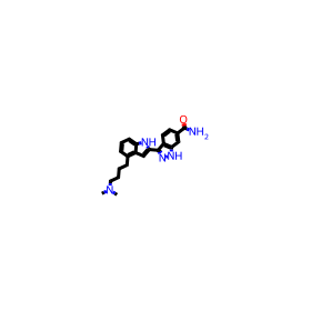 CN(C)CCCCc1cccc2[nH]c(-c3n[nH]c4cc(C(N)=O)ccc34)cc12